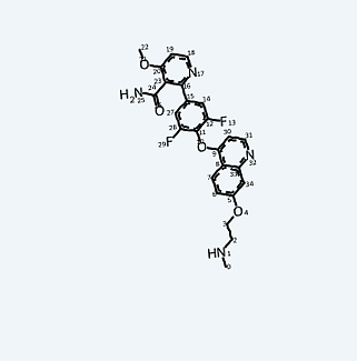 CNCCOc1ccc2c(Oc3c(F)cc(-c4nccc(OC)c4C(N)=O)cc3F)ccnc2c1